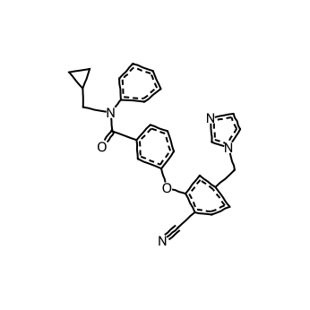 N#Cc1ccc(Cn2ccnc2)cc1Oc1cccc(C(=O)N(CC2CC2)c2ccccc2)c1